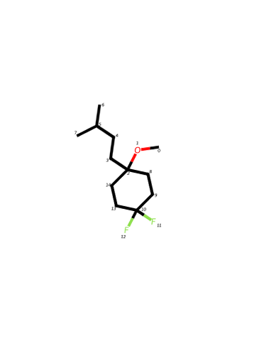 COC1(CCC(C)C)CCC(F)(F)CC1